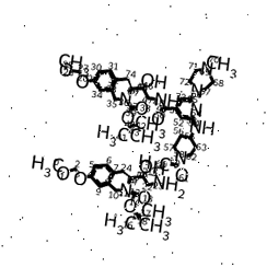 COCOc1ccc2c(c1)CN(C(=O)OC(C)(C)C)[C@H]([C@H](O)CN)C2.COCOc1ccc2c(c1)CN(C(=O)OC(C)(C)C)[C@H]([C@H](O)CNC(=O)c1cc(NC3CCN(C(C)=O)CC3)nc(N3CCN(C)CC3)c1)C2